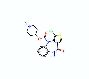 CN1CCC(OC(=O)N2c3ccccc3NC(=O)c3csc(Cl)c32)CC1